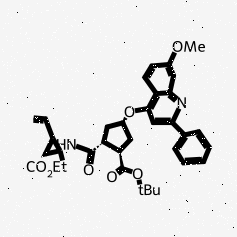 C=CC1CC1(NC(=O)[C@@H]1C[C@@H](Oc2cc(-c3ccccc3)nc3cc(OC)ccc23)C[C@H]1C(=O)OC(C)(C)C)C(=O)OCC